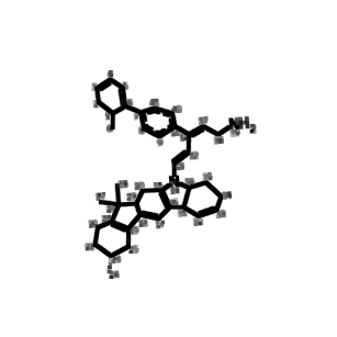 CC1CC=CC=C1c1ccc(C(/C=C/N2C3=C(C=C4C5=C(CC[C@@H](C)C5)C(C)(C)C4C3)C3C=CCCC32)=C/CN)cc1